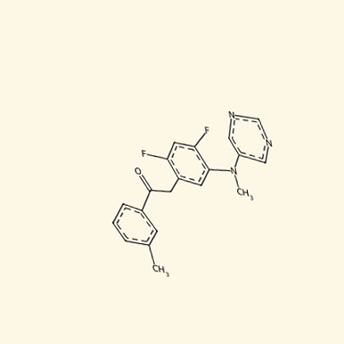 Cc1cccc(C(=O)Cc2cc(N(C)c3cncnc3)c(F)cc2F)c1